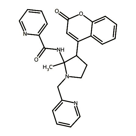 CC1(NC(=O)c2ccccn2)C(c2cc(=O)oc3ccccc23)CCN1Cc1ccccn1